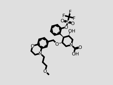 COCCCN1CCOc2ccc(CO[C@H]3CN(C(=O)O)C[C@@H](O)[C@@H]3c3ccccc3OS(=O)(=O)C(F)(F)F)cc21